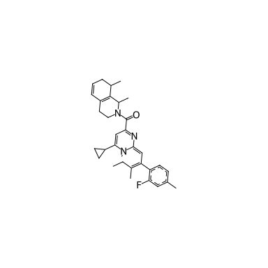 CC/C(C)=C(\C=C1\N=C(C(=O)N2CCC3=C(C(C)CC=C3)C2C)C=C(C2CC2)N1C)c1ccc(C)cc1F